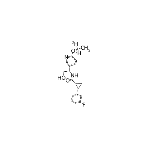 [2H]C([2H])(C)Oc1ccc([C@H](CO)NC(=O)[C@H]2C[C@@H]2c2cccc(F)c2)cn1